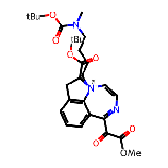 COC(=O)C(=O)C1=NC=C[N@+]2(CCCCN(C)C(=O)OC(C)(C)C)c3c(cccc31)CC2C(=O)OC(C)(C)C